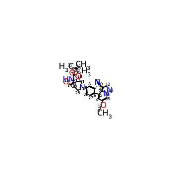 CCOc1cc(-c2ccc(N3CCC(C=O)(NC(=O)OC(C)(C)C)CC3)cc2)c2c(C#N)cnn2c1